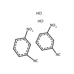 Cl.Cl.[C-]#[N+]c1cccc([N+](=O)[O-])c1.[C-]#[N+]c1cccc([N+](=O)[O-])c1